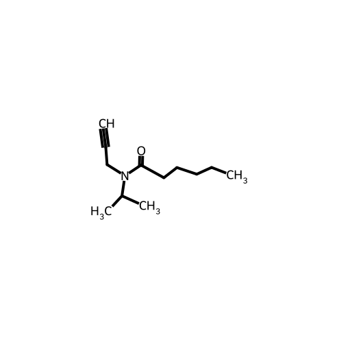 C#CCN(C(=O)CCCCC)C(C)C